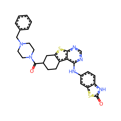 O=C(C1CCc2c(sc3ncnc(Nc4ccc5[nH]c(=O)sc5c4)c23)C1)N1CCN(Cc2ccccc2)CC1